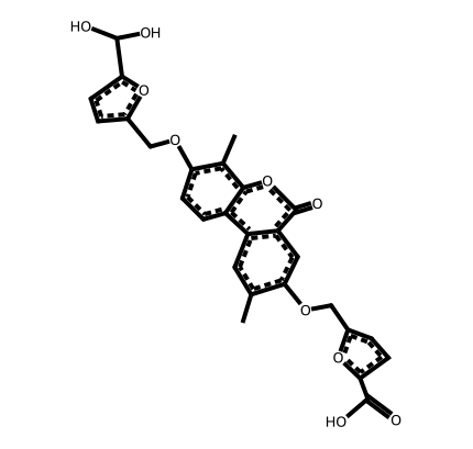 Cc1cc2c(cc1OCc1ccc(C(=O)O)o1)c(=O)oc1c(C)c(OCc3ccc(C(O)O)o3)ccc12